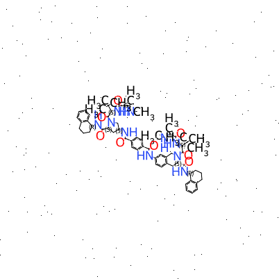 CN[C@@H](C)C(=O)N[C@H](C(=O)N1Cc2cc(NC(=O)c3ccc(C(=O)N[C@H]4C[C@@H](C(=O)N[C@@H]5CCCc6ccccc65)N(C(=O)[C@@H](NC(=O)[C@H](C)NC)C(C)(C)C)C4)cc3)ccc2C[C@H]1C(=O)N[C@@H]1CCCc2ccccc21)C(C)(C)C